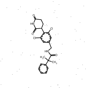 CC(C)(C(=O)NCc1cc(Cl)c(C2CCC(=O)NC2=O)c(Cl)c1)c1ccccc1